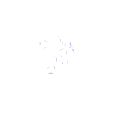 CCN(CC)c1cc2[nH]c(-c3ccc(C)cc3)nc2cc1NC(=O)OCc1ccccc1